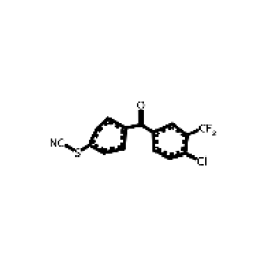 N#CSc1ccc(C(=O)c2ccc(Cl)c(C(F)(F)F)c2)cc1